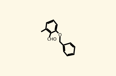 Cc1cccc(OCc2ccccc2)c1C=O